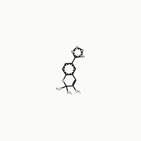 CC1=Cc2cc(-c3nnn[nH]3)ccc2OC1(C)C